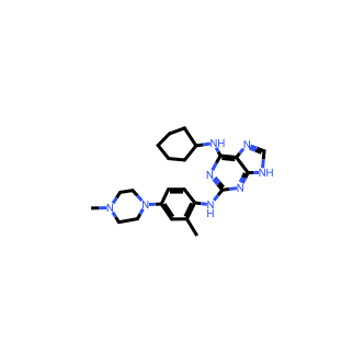 Cc1cc(N2CCN(C)CC2)ccc1Nc1nc(NC2CCCCC2)c2nc[nH]c2n1